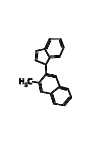 Cc1cc2ccccc2cc1C1C=Cc2ccccc21